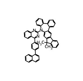 CC1(C)c2ccccc2-c2cc3c(cc21)N(c1nc(-c2ccc(-c4cccc5ccccc45)cc2)c2ccccc2n1)c1ccccc1-c1ccccc1-3